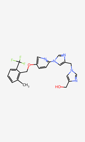 Cc1cccc(C(F)(F)F)c1COc1ccc(-n2cnc(Cn3cnc(CO)c3)c2)nc1